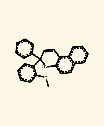 COc1ccccc1C1(c2ccccc2)C=Cc2c(ccc3ccccc23)N1